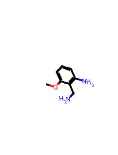 COc1cccc(N)c1CN